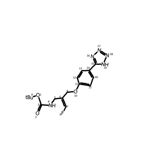 CC(C)(C)OC(=O)NCC(=CF)COc1ccc(-c2nnn[nH]2)cc1